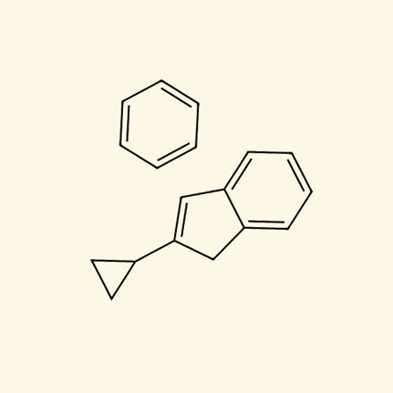 C1=C(C2CC2)Cc2ccccc21.c1ccccc1